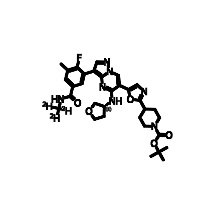 [2H]C([2H])([2H])NC(=O)c1cc(C)c(F)c(-c2cnn3cc(-c4cnc(C5CCN(C(=O)OC(C)(C)C)CC5)o4)c(N[C@H]4CCOC4)nc23)c1